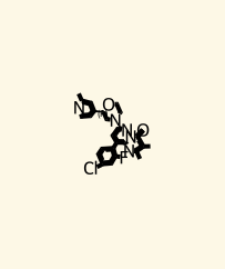 Cc1cc([C@@H]2CN(c3cc(-c4ccc(Cl)cc4F)c4nc(C)c(C)c(=O)n4n3)CCO2)ccn1